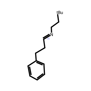 CC(C)(C)CC/N=C/CCc1ccccc1